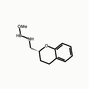 COBNC[C@H]1CCc2ccccc2O1